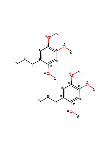 CCCc1cc(OC)c(OC)cc1OC.CCCc1cc(OC)c(OC)cc1OC